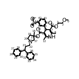 COCCOC(=O)C1=C(C)NC(C)=C(C(=O)OC2(C)CCN(CCC(c3ccccc3)c3ccccc3)C2)C1c1cccc([N+](=O)[O-])c1